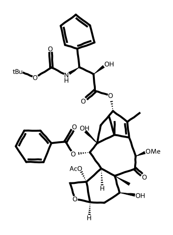 CO[C@H]1C(=O)[C@@]2(C)[C@H]([C@H](OC(=O)c3ccccc3)[C@]3(O)C[C@H](OC(=O)[C@H](O)[C@@H](NC(=O)OC(C)(C)C)c4ccccc4)C(C)=C1C3(C)C)[C@]1(OC(C)=O)CO[C@@H]1C[C@@H]2O